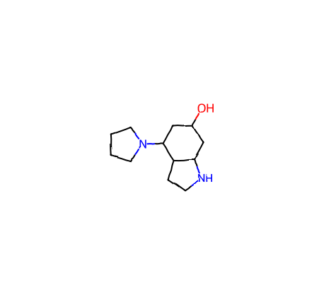 OC1CC2NCCC2C(N2CCCC2)C1